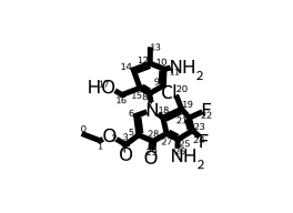 CCOC(=O)c1cn(-c2cc(N)c(C)cc2CO)c2c(Cl)c(F)c(F)c(N)c2c1=O